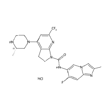 Cc1cn2cc(NC(=O)N3CCc4c(N5CCN[C@@H](C)C5)cc(C(F)(F)F)nc43)c(F)cc2n1.Cl